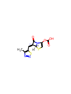 Cc1nnsc1/C=C1/C(=O)N2C(OC(=O)O)=CS[C@@H]12